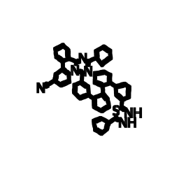 N#Cc1cccc(-c2ccccc2-c2nc(-c3ccccc3)nc(-c3cccc(-c4ccccc4-c4ccccc4-c4cccc(C(=N)SC(=N)c5ccccc5)c4)c3)n2)c1